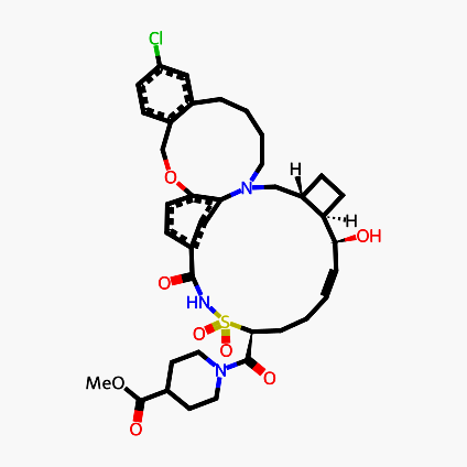 COC(=O)C1CCN(C(=O)[C@@H]2CC/C=C\[C@H](O)[C@@H]3CC[C@H]3CN3CCCCc4cc(Cl)ccc4COc4ccc(cc43)C(=O)NS2(=O)=O)CC1